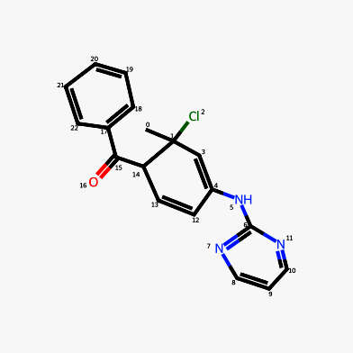 CC1(Cl)C=C(Nc2ncccn2)C=CC1C(=O)c1ccccc1